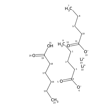 CCCCC(=O)[O-].CCCCC(=O)[O-].CCCCCC(=O)O.[Li+].[Li+]